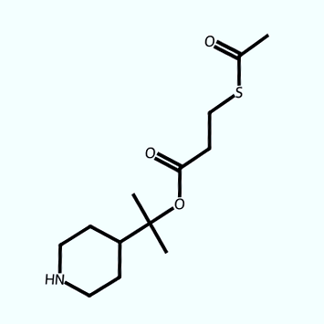 CC(=O)SCCC(=O)OC(C)(C)C1CCNCC1